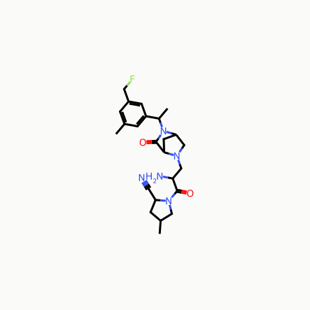 Cc1cc(CF)cc(C(C)N2C(=O)C3CC2CN3CC(N)C(=O)N2CC(C)CC2C#N)c1